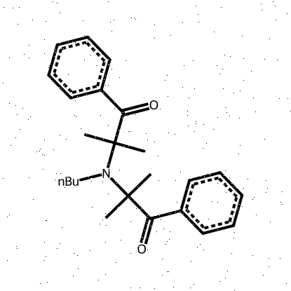 CCCCN(C(C)(C)C(=O)c1ccccc1)C(C)(C)C(=O)c1ccccc1